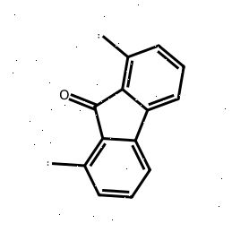 [CH]c1cccc2c1C(=O)c1c([CH])cccc1-2